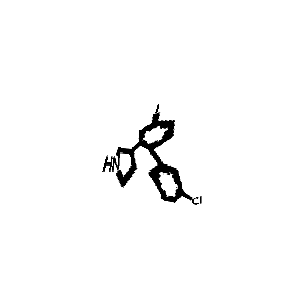 Clc1cccc(-c2ccc(I)cc2C2CCNC2)c1